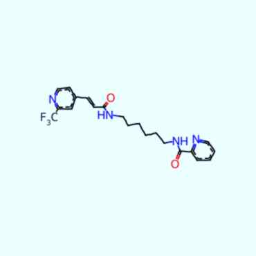 O=C(C=Cc1ccnc(C(F)(F)F)c1)NCCCCCCNC(=O)c1ccccn1